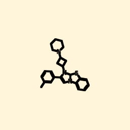 Cc1cccc(C2=CN3c4ccccc4SC3N2C2CC(N3CCCCC3)C2)c1